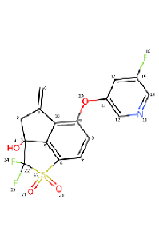 C=C1CC2(O)c3c(ccc(Oc4cncc(F)c4)c31)S(=O)(=O)C2(F)F